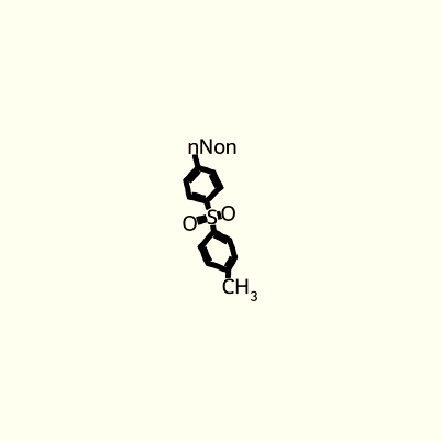 CCCCCCCCCc1ccc(S(=O)(=O)c2ccc(C)cc2)cc1